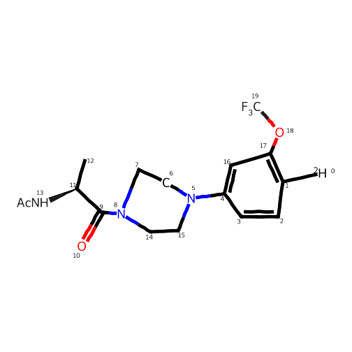 [2H]c1ccc(N2CCN(C(=O)[C@H](C)NC(C)=O)CC2)cc1OC(F)(F)F